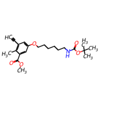 C#Cc1cc(OCCCCCCNC(=O)OC(C)(C)C)cc(C(=O)OC)c1C